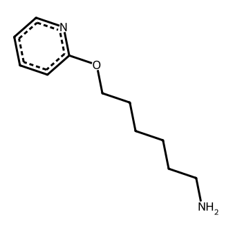 NCCCCCCOc1ccccn1